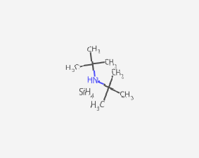 CC(C)(C)NC(C)(C)C.[SiH4]